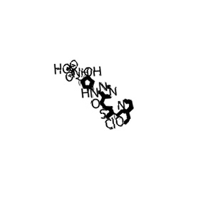 O=C(c1cc([C@@H]2OCCc3cccnc32)c(Cl)s1)c1cncnc1N[C@@H]1C[C@H](CNS(=O)(=O)O)[C@@H](O)C1